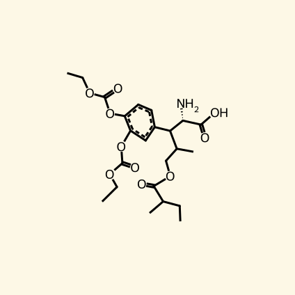 CCOC(=O)Oc1ccc(C(C(C)COC(=O)C(C)CC)[C@H](N)C(=O)O)cc1OC(=O)OCC